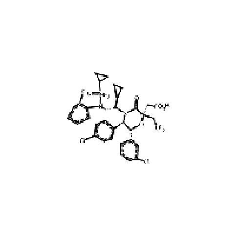 O=C(O)C[C@]1(CC(F)(F)F)O[C@H](c2cccc(Cl)c2)[C@@H](c2ccc(Cl)cc2)N([C@H](CN(c2ccccc2F)S(=O)(=O)C2CC2)C2CC2)C1=O